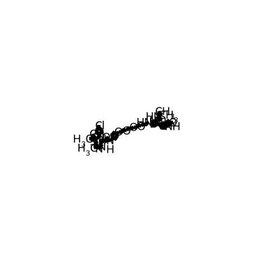 Cc1sc2c(c1C)C(c1ccc(Cl)cc1)=N[C@@H](CC(=O)Nc1ccc(OCCOCCOCCOCCNc3ccc(-c4ccc5c(c4)CC(=O)N5)c(C(=O)NC(C)C)n3)cc1)c1nnc(C)n1-2